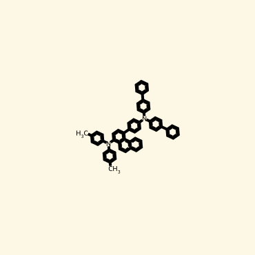 Cc1ccc(N(c2ccc(C)cc2)c2ccc(-c3ccc(N(c4ccc(-c5ccccc5)cc4)c4ccc(-c5ccccc5)cc4)cc3)c3c2ccc2ccccc23)cc1